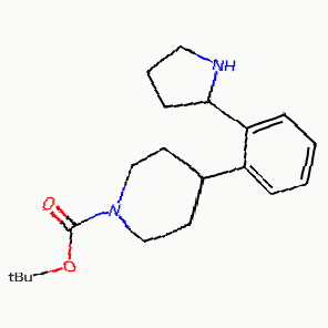 CC(C)(C)OC(=O)N1CCC(c2ccccc2C2CCCN2)CC1